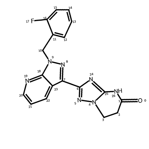 O=C1CCn2nc(-c3nn(Cc4ccccc4F)c4ncccc34)nc2N1